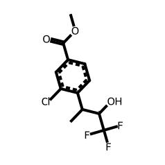 COC(=O)c1ccc(C(C)[C](O)C(F)(F)F)c(Cl)c1